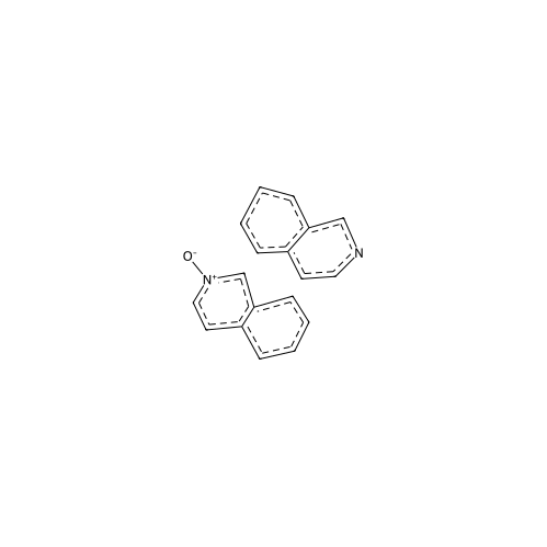 [O-][n+]1ccc2ccccc2c1.c1ccc2cnccc2c1